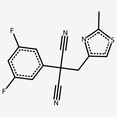 Cc1nc(CC(C#N)(C#N)c2cc(F)cc(F)c2)cs1